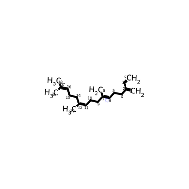 C=CC(=C)CC/C=C(\C)CCC=C(C)CCC=C(C)C